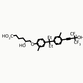 CCC(CC)(c1ccc(C#CC(O)(C(F)(F)F)C(F)(F)F)c(C)c1)c1ccc(OC[C@H](O)CCCC(=O)O)c(C)c1